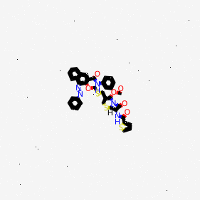 O=COC1=C(CSCOc2c(C(=O)Nc3ccccc3)cc3ccccc3c2/N=N/c2ccccc2)CS[C@@H]2[C@H](NC(=O)c3cccs3)C(=O)N12